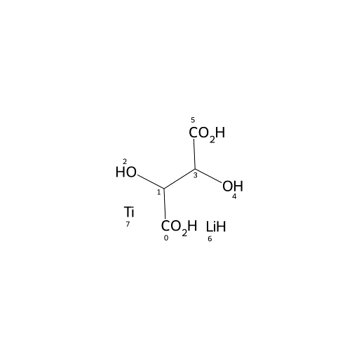 O=C(O)C(O)C(O)C(=O)O.[LiH].[Ti]